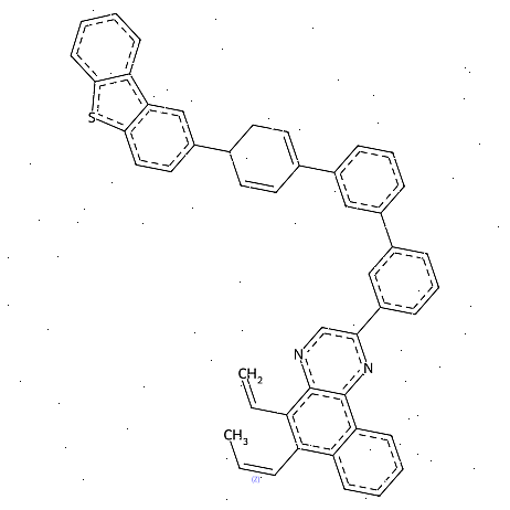 C=Cc1c(/C=C\C)c2ccccc2c2nc(-c3cccc(-c4cccc(C5=CCC(c6ccc7sc8ccccc8c7c6)C=C5)c4)c3)cnc12